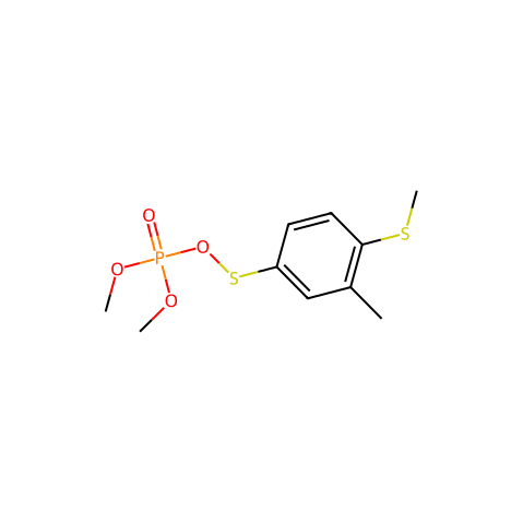 COP(=O)(OC)OSc1ccc(SC)c(C)c1